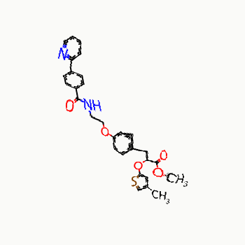 COC(=O)C(Cc1ccc(OCCNC(=O)c2ccc(-c3ccccn3)cc2)cc1)Oc1cc(C)cs1